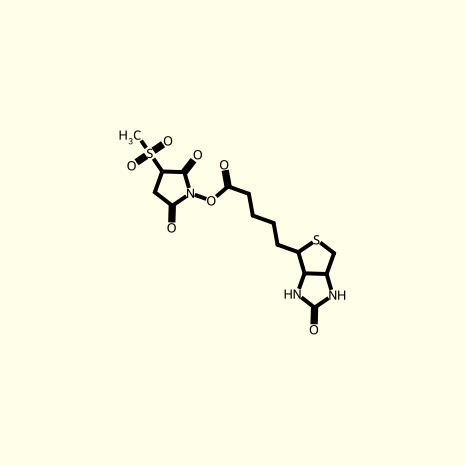 CS(=O)(=O)C1CC(=O)N(OC(=O)CCCCC2SCC3NC(=O)NC32)C1=O